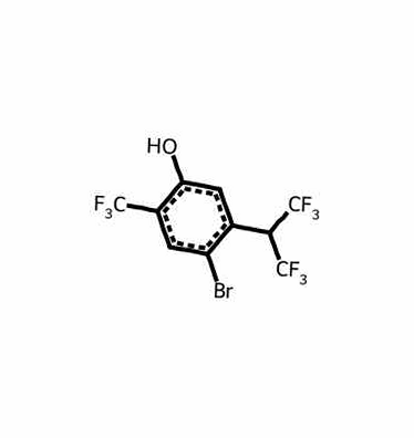 Oc1cc(C(C(F)(F)F)C(F)(F)F)c(Br)cc1C(F)(F)F